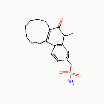 CC1C(=O)C2=C(CCCCCCC2)c2ccc(OS(N)(=O)=O)cc21